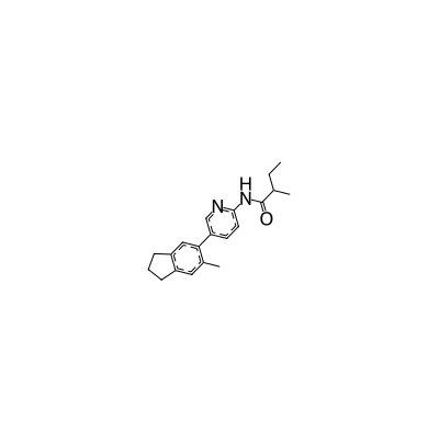 CCC(C)C(=O)Nc1ccc(-c2cc3c(cc2C)CCC3)cn1